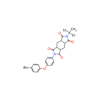 CCC(C)c1ccc(Oc2ccc(N3C(=O)C4CC5C(=O)N(C(C)(CC)CC)C(=O)C5CC4C3=O)cc2)cc1